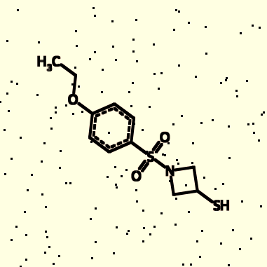 CCOc1ccc(S(=O)(=O)N2CC(S)C2)cc1